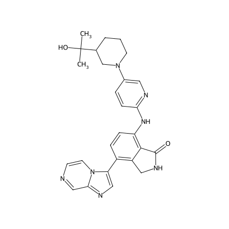 CC(C)(O)C1CCCN(c2ccc(Nc3ccc(-c4cnc5cnccn45)c4c3C(=O)NC4)nc2)C1